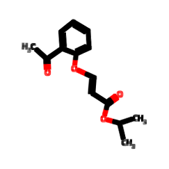 CC(=O)c1ccccc1OC=CC(=O)OC(C)C